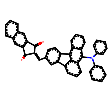 O=C1C(=Cc2ccc3c(c2)-c2cccc4c(N(c5ccccc5)c5ccccc5)c5ccccc5c-3c24)C(=O)c2cc3ccccc3cc21